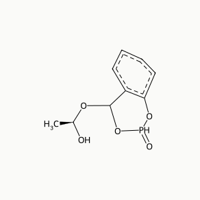 C[C@H](O)OC1O[PH](=O)Oc2ccccc21